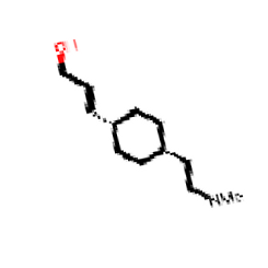 CNCC[C@H]1CC[C@H](C=CCO)CC1